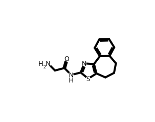 NCC(=O)Nc1nc2c(s1)CCCc1ccccc1-2